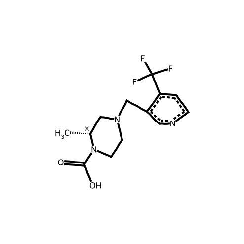 C[C@@H]1CN(Cc2cnccc2C(F)(F)F)CCN1C(=O)O